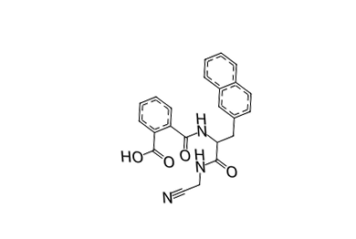 N#CCNC(=O)C(Cc1ccc2ccccc2c1)NC(=O)c1ccccc1C(=O)O